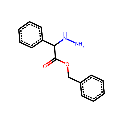 NNC(C(=O)OCc1ccccc1)c1ccccc1